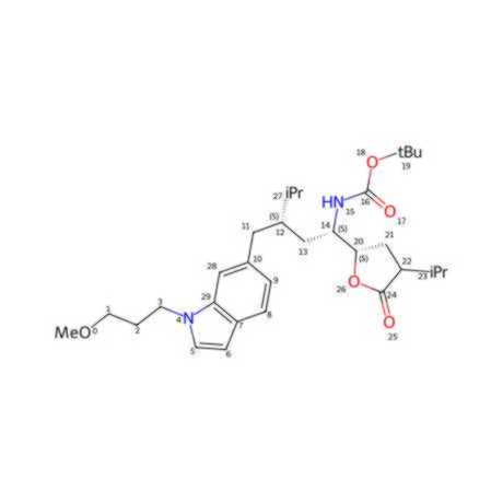 COCCCn1ccc2ccc(C[C@@H](C[C@H](NC(=O)OC(C)(C)C)[C@@H]3CC(C(C)C)C(=O)O3)C(C)C)cc21